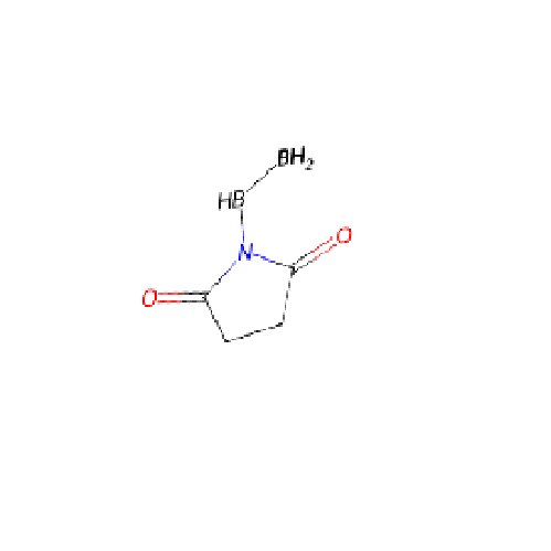 BBN1C(=O)CCC1=O